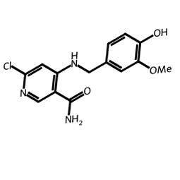 COc1cc(CNc2cc(Cl)ncc2C(N)=O)ccc1O